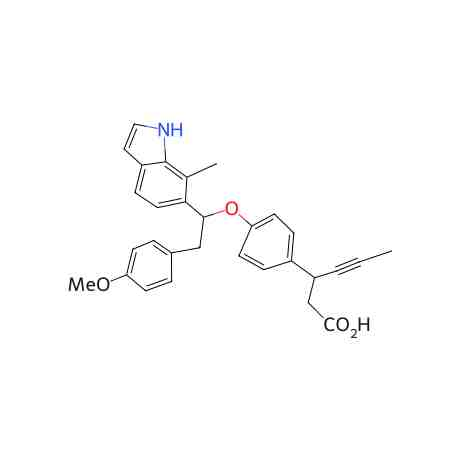 CC#CC(CC(=O)O)c1ccc(OC(Cc2ccc(OC)cc2)c2ccc3cc[nH]c3c2C)cc1